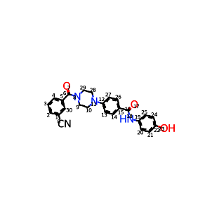 N#Cc1cccc(C(=O)N2CCN(c3ccc(C(=O)Nc4ccc(O)cc4)cc3)CC2)c1